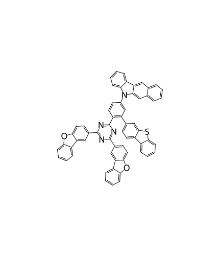 c1ccc2cc3c(cc2c1)c1ccccc1n3-c1ccc(-c2nc(-c3ccc4oc5ccccc5c4c3)nc(-c3ccc4oc5ccccc5c4c3)n2)c(-c2ccc3c(c2)sc2ccccc23)c1